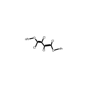 CCCOC(Cl)=C(Cl)C(Cl)=C(Cl)OCCC